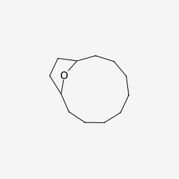 C1CCCCC2CCC(CCC1)O2